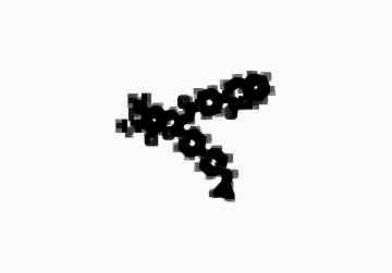 Nc1c(Cl)cc(C[C@@H](CC(=O)N2CCC(N3CCc4ccccc4NC3=O)CC2)C(=O)N2CCC(N3CCN(CC4CC4)CC3)CC2)cc1C(F)(F)F